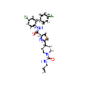 C=CCNC(=O)N1CCC(c2nc(C(=O)Nc3ccc(F)cc3-c3ccc(Cl)cc3)cs2)CC1